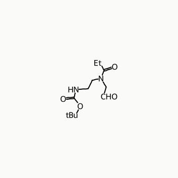 CCC(=O)N(CC=O)CCNC(=O)OC(C)(C)C